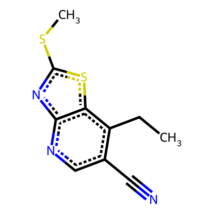 CCc1c(C#N)cnc2nc(SC)sc12